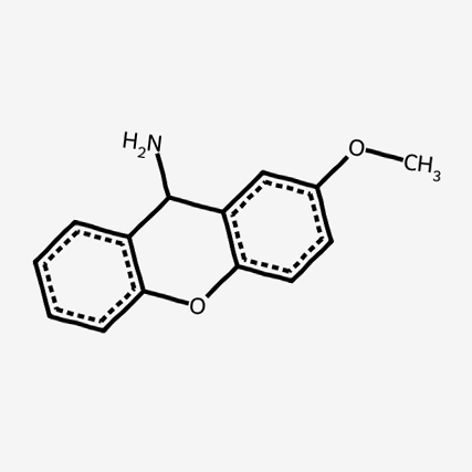 COc1ccc2c(c1)C(N)c1ccccc1O2